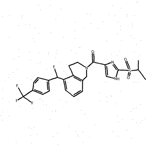 CC(C)S(=O)(=O)c1nc(C(=O)N2CCc3c(cccc3C(F)c3ccc(C(F)(F)F)cc3)C2)c[nH]1